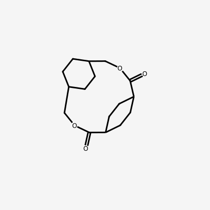 O=C1OCC2CCC(CC2)COC(=O)C2CCC1CC2